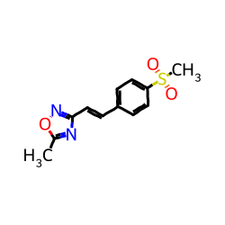 Cc1nc(/C=C/c2ccc(S(C)(=O)=O)cc2)no1